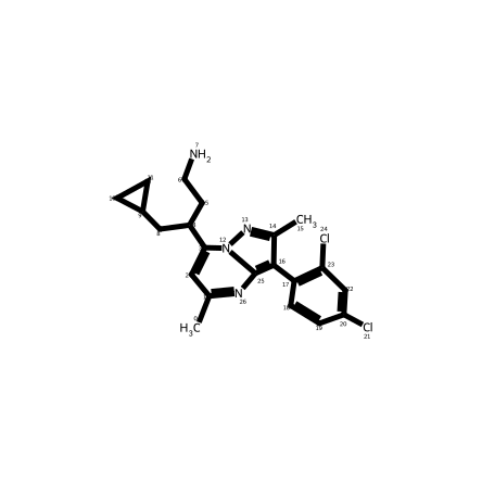 Cc1cc(C(CCN)CC2CC2)n2nc(C)c(-c3ccc(Cl)cc3Cl)c2n1